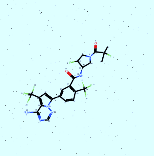 CC(C)(F)C(=O)N1C[C@H](F)[C@H](NC(=O)c2cc(-c3cc(C(F)(F)F)c4c(N)ncnn34)ccc2C(F)(F)F)C1